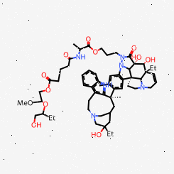 CCC(CO)OC(COC(=O)CCCC(=O)NC(C)C(=O)OCCCN1C(=O)[C@]2(O)C3N1c1cc(C)c([C@@]4(C)CC5C[N@](CCc6c4[nH]c4ccccc64)CC(O)(CC)C5)cc1[C@@]31CCN3CC=C[C@](CC)(C31)[C@H]2O)OC